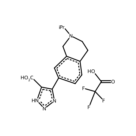 CC(C)N1CCc2ccc(-c3nn[nH]c3C(=O)O)cc2C1.O=C(O)C(F)(F)F